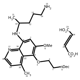 CCCCCCCCCCCCOc1c(OC)cc(NC(C)CCCN)c2nccc(C)c12.O=C(O)/C=C/C(=O)O